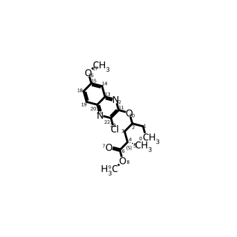 CCC(C[C@H](C)C(=O)OC)Oc1nc2cc(OC)ccc2nc1Cl